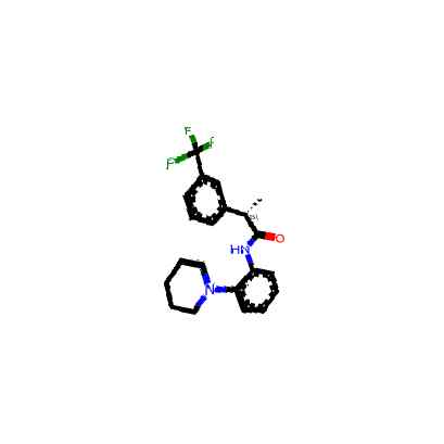 C[C@H](C(=O)Nc1ccccc1N1CCCCC1)c1cccc(C(F)(F)F)c1